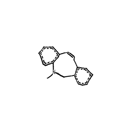 CN1Cc2ccccc2/C=C\c2ccccc21